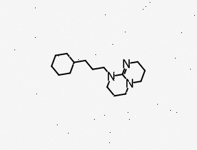 C1CCC(CCCN2CCCN3CCCN=C32)CC1